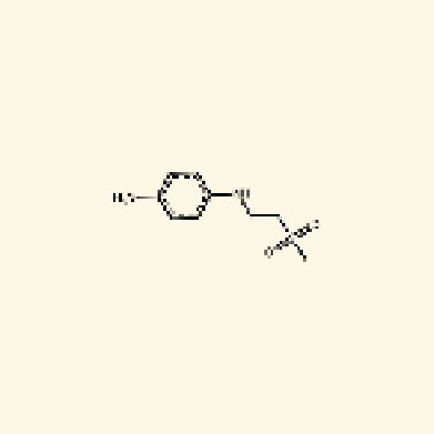 CS(=O)(=O)CCNc1ccc(N)cc1